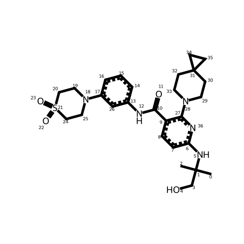 CC(C)(CO)Nc1ccc(C(=O)Nc2cccc(N3CCS(=O)(=O)CC3)c2)c(N2CCC3(CC2)CC3)n1